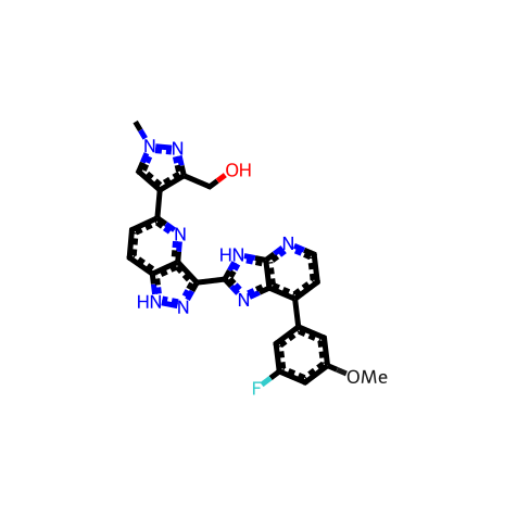 COc1cc(F)cc(-c2ccnc3[nH]c(-c4n[nH]c5ccc(-c6cn(C)nc6CO)nc45)nc23)c1